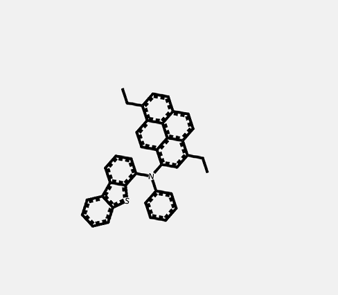 CCc1ccc2ccc3c(CC)cc(N(c4ccccc4)c4cccc5c4sc4ccccc45)c4ccc1c2c34